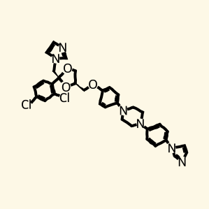 Clc1ccc([C@]2(Cn3ccnc3)OC[C@@H](COc3ccc(N4CCN(c5ccc(-n6ccnc6)cc5)CC4)cc3)O2)c(Cl)c1